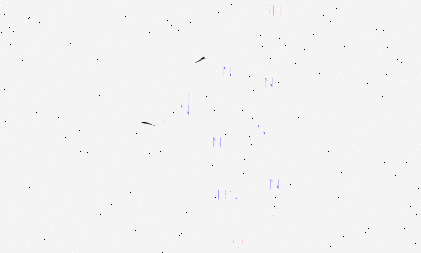 C[C@@H](Nc1nc(-c2noc(=O)[nH]2)nc2nc(C(C)(O)C(C)(C)C)n(C[C@H]3CC[C@H](C)CC3)c12)C1CCC1